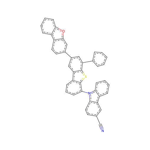 N#Cc1ccc2c(c1)c1ccccc1n2-c1cccc2c1sc1c(-c3ccccc3)cc(-c3ccc4c(c3)oc3ccccc34)cc12